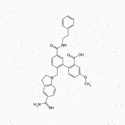 COc1ccc(-c2cc(C(=O)NCCc3ccccc3)ccc2CN2CCc3cc(C(=N)N)ccc32)c(C(=O)O)c1